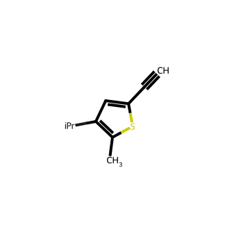 C#Cc1cc(C(C)C)c(C)s1